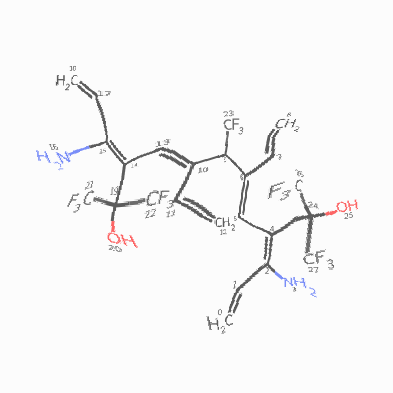 C=C/C(N)=C(\C=C(/C=C)C(/C(C=C)=C/C(=C(/N)C=C)C(O)(C(F)(F)F)C(F)(F)F)C(F)(F)F)C(O)(C(F)(F)F)C(F)(F)F